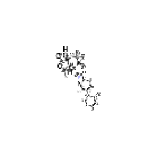 Cc1ccccc1-c1ccc(/C=C/[C@@H]2[C@@H]3[C@@H](C)OC(=O)[C@]3(O)CC(F)(F)[C@H]2C)nc1